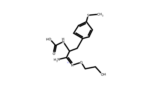 CSc1ccc(CC(NC(=O)O)/C(N)=N\OCCO)cc1